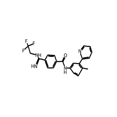 Cc1ccc(NC(=O)c2ccc(C(=N)NCC(F)(F)F)cc2)cc1-c1ccccn1